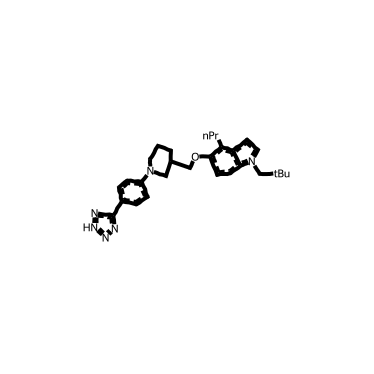 CCCc1c(OCC2CCCN(c3ccc(-c4nn[nH]n4)cc3)C2)ccc2c1ccn2CC(C)(C)C